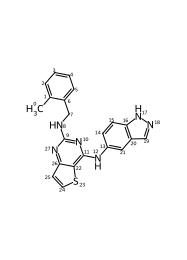 Cc1ccccc1CNc1nc(Nc2ccc3[nH]ncc3c2)c2sccc2n1